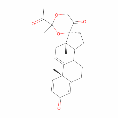 CC(=O)C1(C)OCC(=O)[C@]2(CCC3C4CCC5=CC(=O)C=C[C@]5(C)C4=CC[C@@]32C)O1